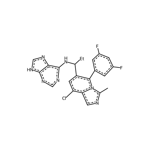 CCC(Nc1ncnc2[nH]cnc12)c1cc(Cl)c2cnc(C)n2c1-c1cc(F)cc(F)c1